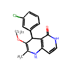 CCOC(=O)OC1=C(C)Nc2cc[nH]c(=O)c2C1c1cccc(Cl)c1